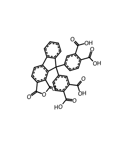 O=C(O)c1ccc(C2(c3ccc(C(=O)O)c(C(=O)O)c3)c3ccccc3-c3ccc4c(c32)C(=O)OC4=O)cc1C(=O)O